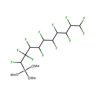 CO[Si](OC)(OC)C(F)C(F)(F)C(F)C(F)C(F)C(F)C(F)C(F)C(F)C(F)F